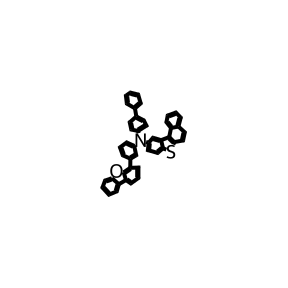 c1ccc(-c2ccc(N(c3cccc(-c4cccc5c4oc4ccccc45)c3)c3ccc4sc5ccc6ccccc6c5c4c3)cc2)cc1